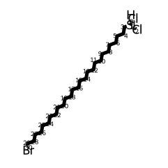 Cl[SiH](Cl)CCCCCCCCCCCCCCCCCCCCCCCCCCCBr